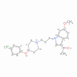 COc1ccc2c(C(C)=O)cn(CCCN3CCC(Oc4ccc(Cl)cc4)CC3)c2c1